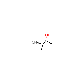 C[C@H](O)[C@@H](C)N=O